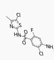 Cc1nc(NS(=O)(=O)c2cc(Cl)c(N)cc2F)sc1Cl